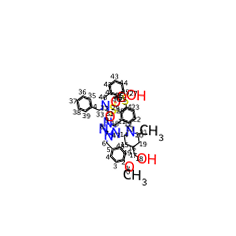 COc1ccc(Cn2nnc(-c3c(N4CCC(CO)CC4C)ccc(S(=O)O)c3S(=O)(=O)N(Cc3ccccc3)Cc3ccccc3)n2)cc1